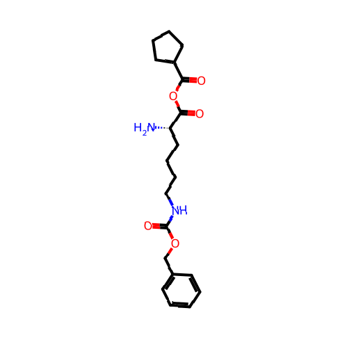 N[C@@H](CCCCNC(=O)OCc1ccccc1)C(=O)OC(=O)C1CCCC1